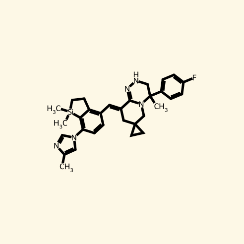 Cc1cn(-c2ccc(/C=C3\CC4(CC4)CN4C3=NNCC4(C)c3ccc(F)cc3)c3c2[Si](C)(C)CC3)cn1